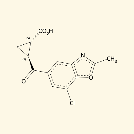 Cc1nc2cc(C(=O)[C@H]3C[C@@H]3C(=O)O)cc(Cl)c2o1